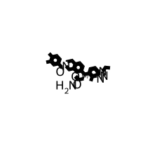 CCn1nnc2c(C)c([C@@H](CC(=O)ON)c3ccc4c(c3)CN(C(=O)c3ccc(C)c(C)c3)CC4)ccc21